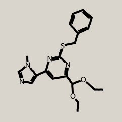 CCOC(OCC)c1cc(-c2cncn2C)nc(SCc2ccccc2)n1